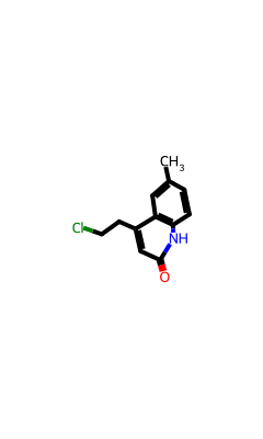 Cc1ccc2[nH]c(=O)cc(CCCl)c2c1